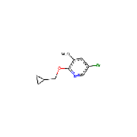 COc1cc(Br)cnc1OCC1CC1